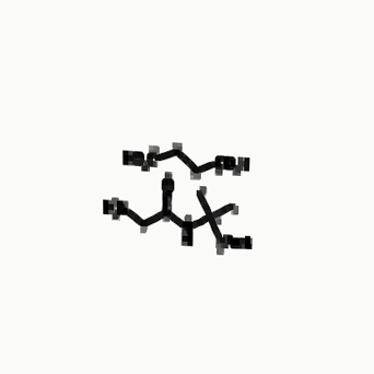 CCCCCC(C)(C)NC(=O)CN.O=C(O)CCC(=O)O